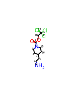 NCCC1CCN(C(=O)OCC(Cl)(Cl)Cl)CC1